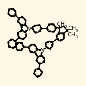 CC1(C)CC(C)(c2ccc(-c3ccc(-n4c5ccc(-c6ccccc6)cc5c5cc(-c6ccccc6)ccc54)cc3)cc2)c2cc(-c3ccc(-n4c5ccc(-c6ccccc6)cc5c5cc(-c6ccccc6)ccc54)cc3)ccc21